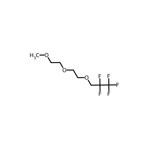 COCCOCCOCC(F)(F)C(F)(F)F